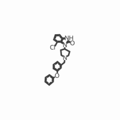 O=c1[nH]c2cccc(Cl)c2n1C1CCN(Cc2cccc(Oc3ccccc3)c2)CC1